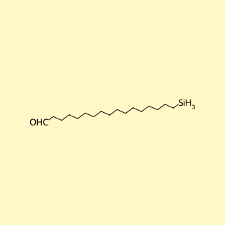 O=CCCCCCCCCCCCCCCCC[SiH3]